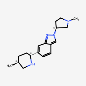 C[C@H]1CC[C@H](c2ccc3cn([C@H]4CCN(C)C4)nc3c2)NC1